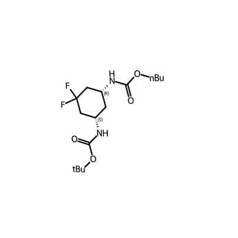 CCCCOC(=O)N[C@@H]1C[C@H](NC(=O)OC(C)(C)C)CC(F)(F)C1